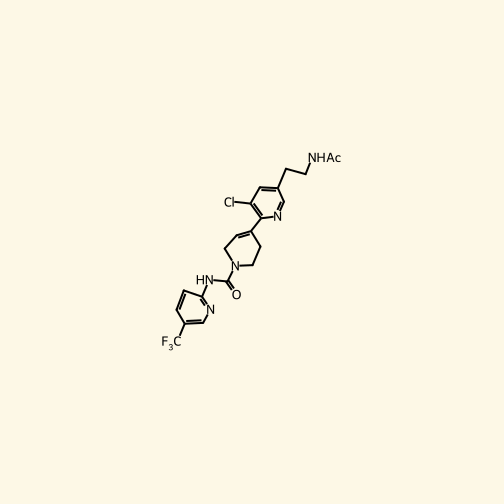 CC(=O)NCCc1cnc(C2=CCN(C(=O)Nc3ccc(C(F)(F)F)cn3)CC2)c(Cl)c1